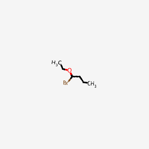 CCCC(Br)OCC